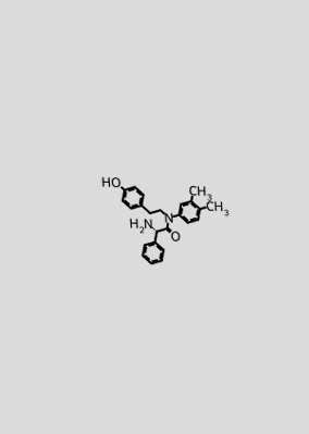 Cc1ccc(N(CCc2ccc(O)cc2)C(=O)[C@@H](N)c2ccccc2)cc1C